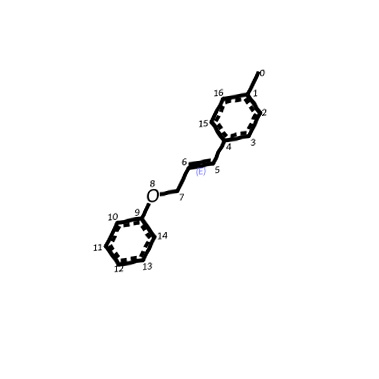 Cc1ccc(/C=C/COc2ccccc2)cc1